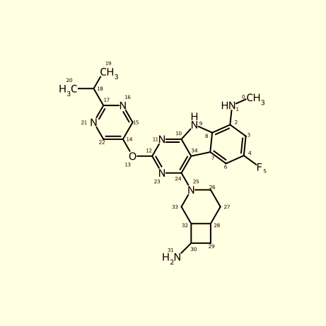 CNc1cc(F)cc2c1[nH]c1nc(Oc3cnc(C(C)C)nc3)nc(N3CCC4CC(N)C4C3)c12